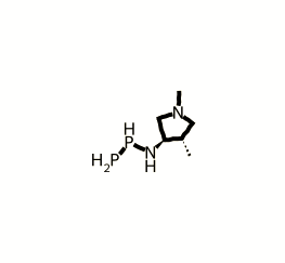 C[C@H]1CN(C)C[C@@H]1NPP